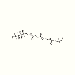 CCC(C)(C)CCC(=O)OCCOC(=O)CCC(=O)OCCC(F)(F)C(F)(F)C(F)(F)C(F)(F)F